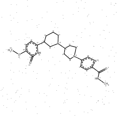 CNC(=O)c1ccc(N2CCC(N3CCCC(c4ccc(OC)c(=O)[nH]4)C3)CC2)cn1